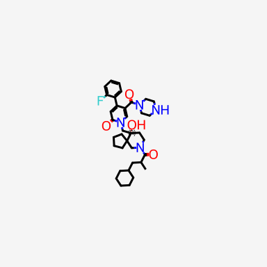 CC(CC1CCCCC1)C(=O)N1CC[C@](O)(Cn2cc(C(=O)N3CCNCC3)c(-c3ccccc3F)cc2=O)C2(CCCC2)C1